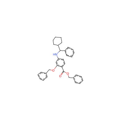 O=C(OCc1ccccc1)c1ccc(NC(c2ccccc2)C2CCCCC2)cc1OCc1ccccc1